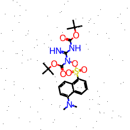 CN(C)c1cccc2c(S(=O)(=O)ON(C(=N)NC(=O)OC(C)(C)C)C(=O)OC(C)(C)C)cccc12